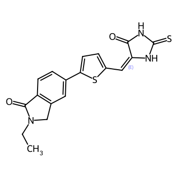 CCN1Cc2cc(-c3ccc(/C=C4/NC(=S)NC4=O)s3)ccc2C1=O